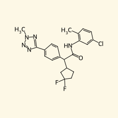 Cc1ccc(Cl)cc1NC(=O)C(c1ccc(-c2nnn(C)n2)cc1)C1CCC(F)(F)C1